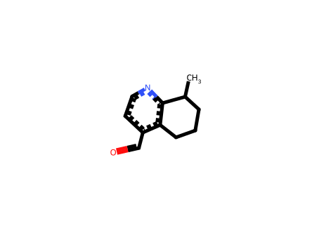 CC1CCCc2c(C=O)ccnc21